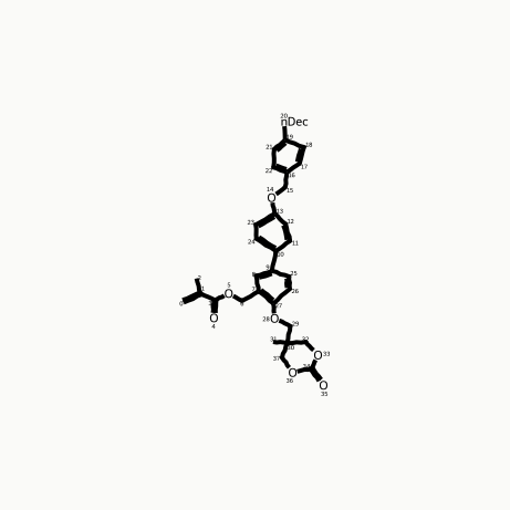 C=C(C)C(=O)OCc1cc(-c2ccc(OCc3ccc(CCCCCCCCCC)cc3)cc2)ccc1OCC1(C)COC(=O)OC1